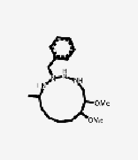 COC1CCCCC(C)NN(Cc2ccccc2)NNCC1OC